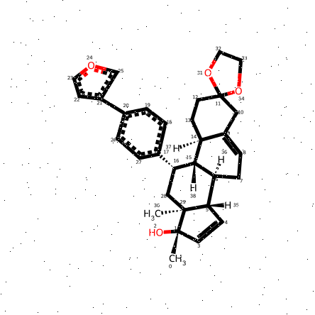 C[C@]1(O)C=C[C@H]2[C@@H]3CC=C4CC5(CC[C@@H]4[C@H]3[C@@H](c3ccc(-c4ccoc4)cc3)C[C@@]21C)OCCO5